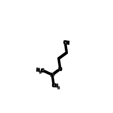 C[Si](C)OCCC#N